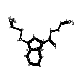 C=CCOC(=O)n1nc(OCC=C)c2ccccc21